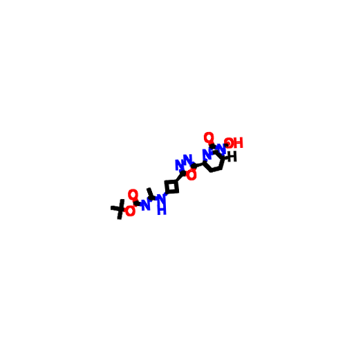 C/C(=N\C(=O)OC(C)(C)C)N[C@H]1C[C@@H](c2nnc([C@@H]3CC[C@@H]4CN3C(=O)N4O)o2)C1